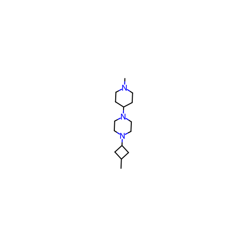 CC1CC(N2CCN(C3CCN(C)CC3)CC2)C1